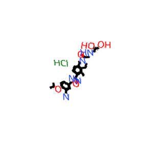 Cc1c(-c2noc(-c3ccc(OC(C)C)c(C#N)c3)n2)ccc2c1CCN(C(=O)CNC[C@H](O)CO)C2.Cl